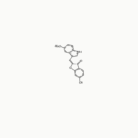 COc1ccc2[nH]cc(C=C3Oc4cc(C#N)ccc4C3=O)c2c1